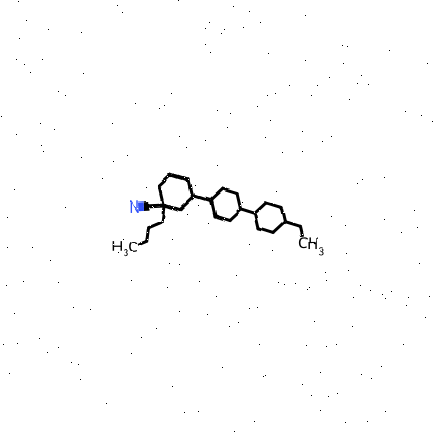 CCCCC1(C#N)CCCC(C2CCC(C3CCC(CC)CC3)CC2)C1